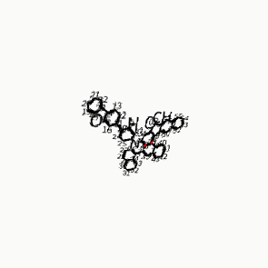 CC1(C)c2cc(N(c3ccc(-c4ccc5c(c4)oc4ccccc45)cc3)c3ccc4ccccc4c3-c3ccc4ccccc4c3)ccc2-c2cc3ccccc3cc21